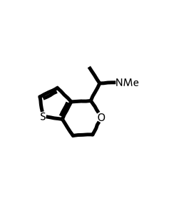 CNC(C)C1OCCc2sccc21